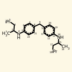 CC(C)CC(C)Nc1ccc(Cc2ccc(NC(C)CC(C)C)cc2)cc1